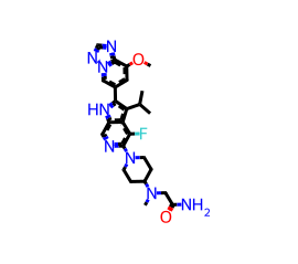 COc1cc(-c2[nH]c3cnc(N4CCC(N(C)CC(N)=O)CC4)c(F)c3c2C(C)C)cn2ncnc12